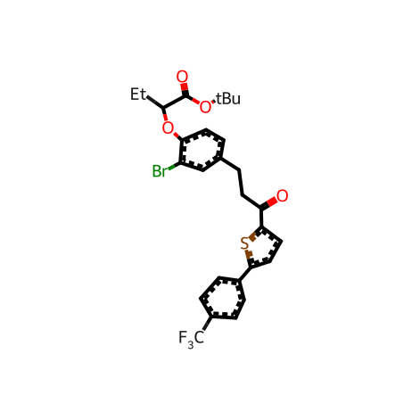 CCC(Oc1ccc(CCC(=O)c2ccc(-c3ccc(C(F)(F)F)cc3)s2)cc1Br)C(=O)OC(C)(C)C